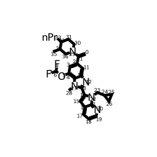 C=C(c1cc(OC(F)F)c2c(c1)nc(-c1cc3cccnc3n1CC1CC1)n2C)N1CCC(CCC)C(C)C1